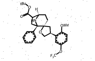 COc1ccc(OC(F)(F)F)cc1[C@H]1CO[C@]2(CC[C@H]3N[C@@]2(c2ccccc2)CC3C(=O)OC(C)(C)C)C1